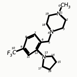 CN1CCN(Cc2ccc(C(F)(F)F)cc2N2CCCC2)CC1